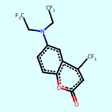 O=c1cc(C(F)(F)F)c2cc(N(CC(F)(F)F)CC(F)(F)F)ccc2o1